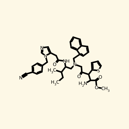 CCC(C)C(CN(CC(=O)C(c1cccs1)C(N)C(=O)OC)Cc1cccc2ccccc12)NC(=O)Cc1cncn1Cc1ccc(C#N)cc1